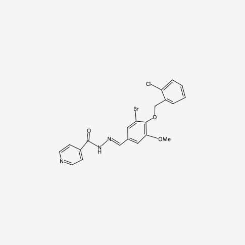 COc1cc(/C=N/NC(=O)c2ccncc2)cc(Br)c1OCc1ccccc1Cl